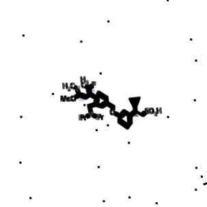 C=N/C(=C\C(=C(/C)F)c1ccc(COc2cccc([C@H](CS(=O)(=O)O)C3CC3)c2)cc1CN(C(C)C)C(C)C)OC